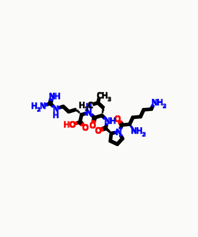 CC(C)C[C@H](NC(=O)[C@@H]1CCCN1C(=O)[C@@H](N)CCCCN)C(=O)N[C@@H](CCCNC(=N)N)C(=O)O